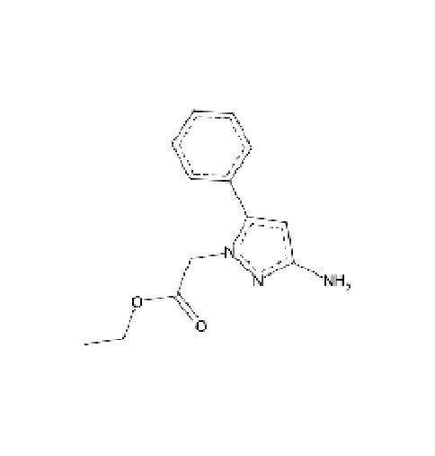 CCOC(=O)Cn1nc(N)cc1-c1ccccc1